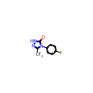 O=c1[nH]nc(C(F)(F)F)n1-c1ccc(F)cc1